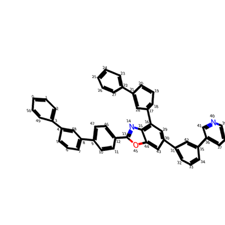 c1ccc(-c2cccc(-c3ccc(-c4nc5c(-c6cccc(-c7ccccc7)c6)cc(-c6cccc(-c7cccnc7)c6)cc5o4)cc3)c2)cc1